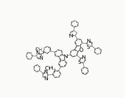 Cn1c(-c2ccccc2)cnc1-c1cccc(-c2ccc3c(c2)c2cc(-c4cccc(-c5ncc(-c6ccccc6)n5C)c4)ccc2n3-c2cc(-c3ncc(-c4ccccc4)s3)c3oc4c(-c5ncc(-c6ccccc6)s5)cc(C5=NC=C(c6ccccc6)C5)cc4c3c2)c1